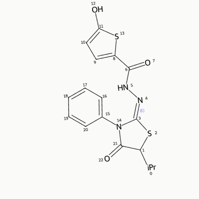 CC(C)C1S/C(=N/NC(=O)c2ccc(O)s2)N(c2ccccc2)C1=O